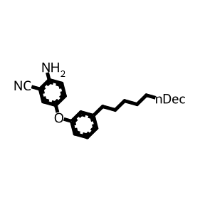 CCCCCCCCCCCCCCCc1cccc(Oc2ccc(N)c(C#N)c2)c1